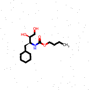 CCCCOC(=O)N[C@@H](CC1CCCCC1)[C@@H](O)CO